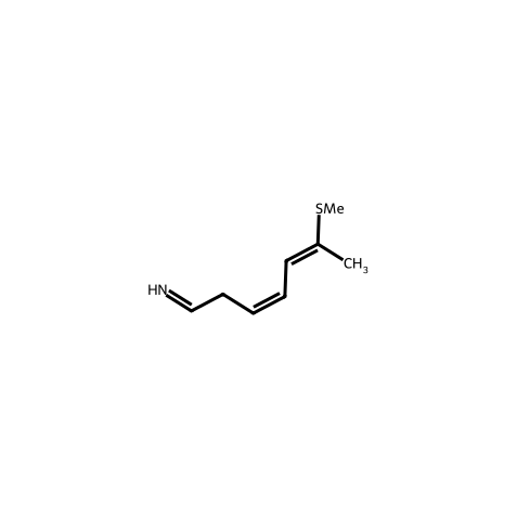 CS/C(C)=C/C=C\CC=N